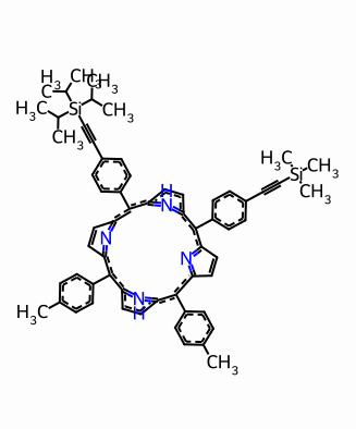 Cc1ccc(-c2c3nc(c(-c4ccc(C#C[Si](C)(C)C)cc4)c4ccc([nH]4)c(-c4ccc(C#C[Si](C(C)C)(C(C)C)C(C)C)cc4)c4nc(c(-c5ccc(C)cc5)c5ccc2[nH]5)C=C4)C=C3)cc1